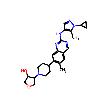 Cc1cc2cnc(Nc3cnn(C4CC4)c3C)nc2cc1C1CCN(C2COCC2O)CC1